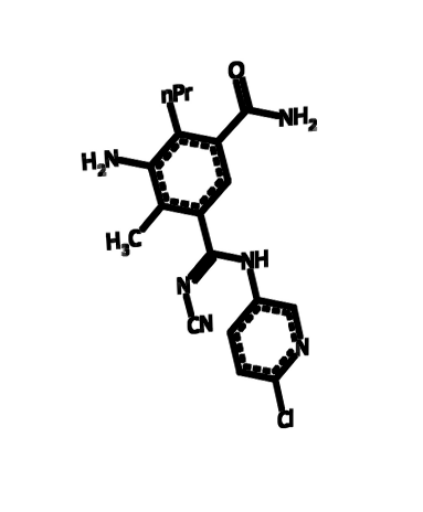 CCCc1c(C(N)=O)cc(C(=NC#N)Nc2ccc(Cl)nc2)c(C)c1N